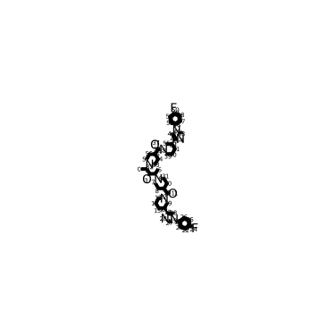 CC(C(=O)C(C)N1CCC(C(=O)N2CCC[C@H](c3cn(-c4ccc(F)cc4)cn3)C2)CC1)N1CCC(C(=O)N2CCC[C@H](c3cn(-c4ccc(F)cc4)cn3)C2)CC1